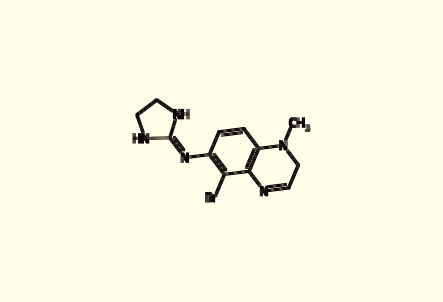 CN1CC=Nc2c1ccc(N=C1NCCN1)c2Br